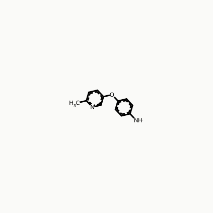 Cc1ccc(Oc2ccc([NH])cc2)cn1